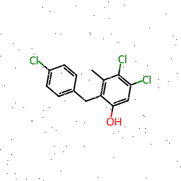 Cc1c(Cl)c(Cl)cc(O)c1Cc1ccc(Cl)cc1